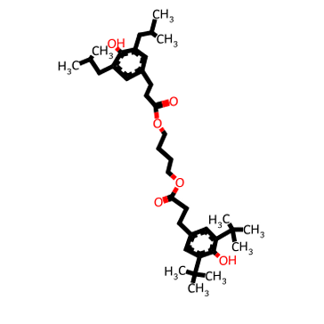 CC(C)Cc1cc(CCC(=O)OCCCCOC(=O)CCc2cc(C(C)(C)C)c(O)c(C(C)(C)C)c2)cc(CC(C)C)c1O